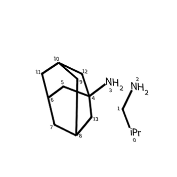 CC(C)CN.NC12CC3CC(CC(C3)C1)C2